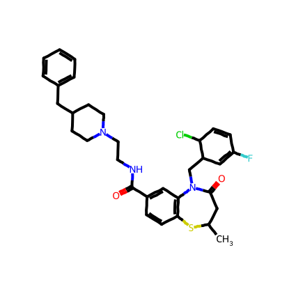 CC1CC(=O)N(CC2C=C(F)C=CC2Cl)c2cc(C(=O)NCCN3CCC(Cc4ccccc4)CC3)ccc2S1